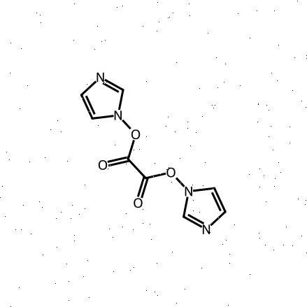 O=C(On1ccnc1)C(=O)On1ccnc1